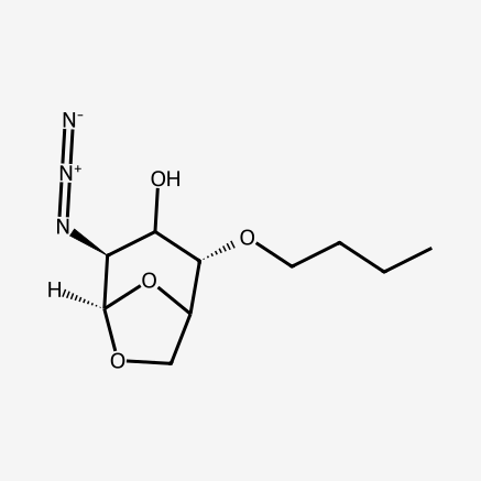 CCCCO[C@@H]1C2CO[C@H](O2)[C@@H](N=[N+]=[N-])C1O